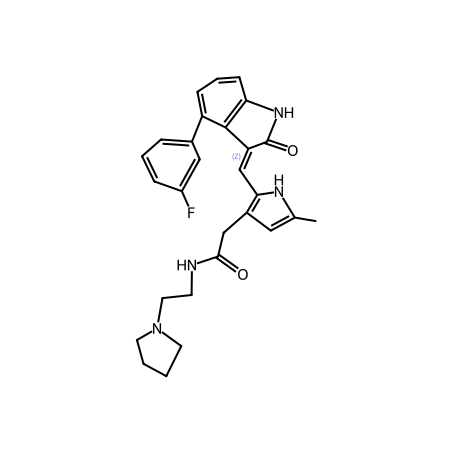 Cc1cc(CC(=O)NCCN2CCCC2)c(/C=C2\C(=O)Nc3cccc(-c4cccc(F)c4)c32)[nH]1